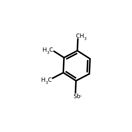 Cc1cc[c]([Sb])c(C)c1C